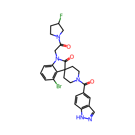 O=C(CN1C(=O)C2(CCN(C(=O)c3ccc4[nH]ncc4c3)CC2)c2c(Br)cccc21)N1CCC(F)C1